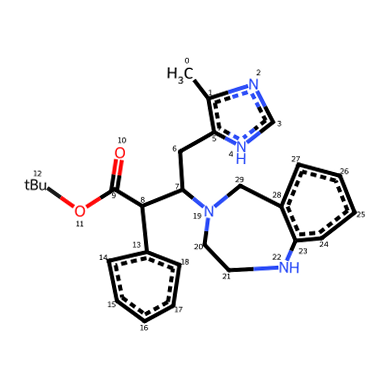 Cc1nc[nH]c1CC(C(C(=O)OC(C)(C)C)c1ccccc1)N1CCNc2ccccc2C1